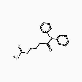 NC(=O)CCCCC(=O)N(c1ccccc1)c1ccccc1